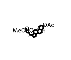 COC(=O)CC[C@@H](C)C1CCC2C3CC[C@@H]4C[C@H](OC(C)=O)CC[C@]4(C)C3=C[C@H](O)[C@@]21C